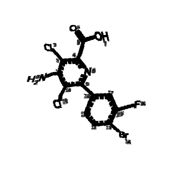 Nc1c(Cl)c(C(=O)O)nc(-c2ccc(Br)c(F)c2)c1Cl